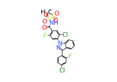 CS(=O)(=O)S(=O)(=O)NC(=O)c1cc(Cl)c(-n2nc(-c3ccc(Cl)cc3F)c3ccccc32)cc1F